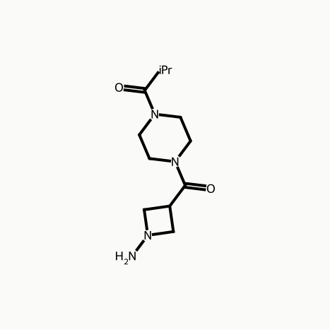 CC(C)C(=O)N1CCN(C(=O)C2CN(N)C2)CC1